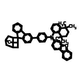 CC1(C)CCC(C)(C)c2c(N(c3ccc(-c4ccc5c(c4)-c4ccccc4C54C5CC6CC7CC4C75C6)cc3)c3ccc4c(c3)oc3ccccc34)cccc21